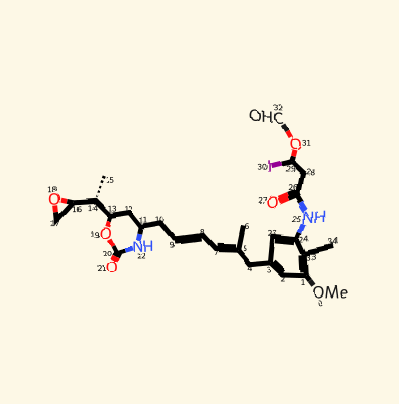 COc1cc(C/C(C)=C/C=C/CC2CC([C@@H](C)C3CO3)OC(=O)N2)cc(NC(=O)CC(I)OC=O)c1C